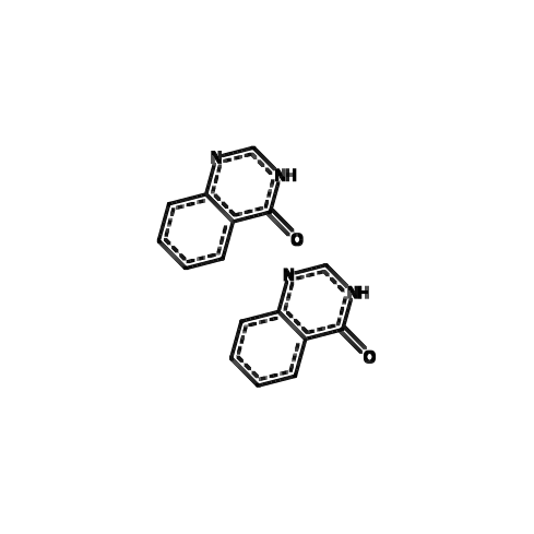 O=c1[nH]cnc2ccccc12.O=c1[nH]cnc2ccccc12